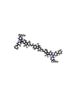 COc1ccc(N(c2ccc(-c3ccccc3)cc2)c2ccc3c(c2)C(C)(C)c2cc(/C=C/c4ccc5c(c4)C(C)(C)c4cc(/C=C/c6ccc7c(c6)C(C)(C)c6cc(N(c8ccc(OC)cc8)c8ccc(-c9ccccc9)cc8)ccc6-7)ccc4-5)ccc2-3)cc1